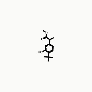 COC(=O)C(C)c1ccc(C(C)(C)C)c(O)c1